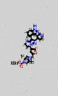 CC(C)(C)OC(=O)N1C[C@@H]2C[C@H]1CN2Cc1cc(-c2ccnc3c(-c4cccc5[nH]ncc45)c(-c4ccncc4)nn23)co1